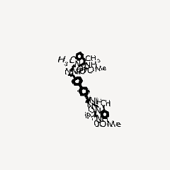 C#Cc1ccccc1N(Cc1ncc(-c2ccc(-c3ccc(-c4cnc(CN5C(=O)[C@@H](NC(=O)OC)C(C)c6cccc(C)c65)[nH]4)cc3)cc2)[nH]1)C(=O)[C@@H](NC(=O)OC)C(C)C